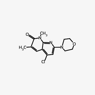 Cc1cc2c(Cl)cc(N3CCOCC3)nc2n(C)c1=O